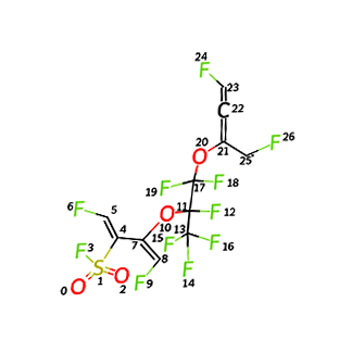 O=S(=O)(F)C(=CF)C(=CF)OC(F)(C(F)(F)F)C(F)(F)OC(=C=CF)[CH]F